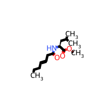 CCC/C=C/CC(=O)N[C@@H](CC(C)C)C(=O)OC